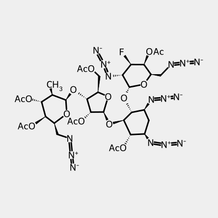 CC(=O)OC[C@H]1O[C@@H](O[C@@H]2[C@@H](OC(C)=O)[C@H](N=[N+]=[N-])C[C@H](N=[N+]=[N-])[C@H]2O[C@H]2O[C@H](CN=[N+]=[N-])[C@H](OC(C)=O)[C@H](F)[C@H]2N=[N+]=[N-])[C@H](OC(C)=O)[C@@H]1O[C@H]1O[C@@H](CN=[N+]=[N-])[C@@H](OC(C)=O)[C@H](OC(C)=O)[C@H]1C